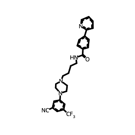 N#Cc1cc(N2CCN(CCCCNC(=O)c3ccc(-c4ccccn4)cc3)CC2)cc(C(F)(F)F)c1